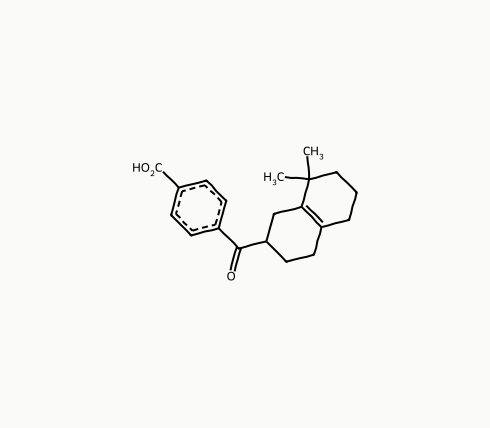 CC1(C)CCCC2=C1CC(C(=O)c1ccc(C(=O)O)cc1)CC2